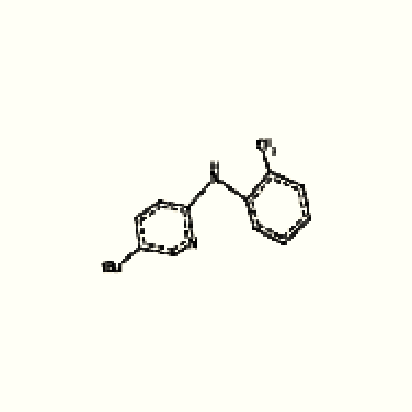 CC(C)(C)c1ccc(Nc2ccccc2C(F)(F)F)nc1